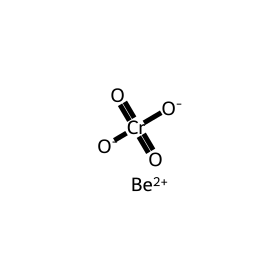 [Be+2].[O]=[Cr](=[O])([O-])[O-]